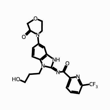 O=C(/N=c1\[nH]c2cc(N3CCOCC3=O)ccc2n1CCCO)c1cccc(C(F)(F)F)n1